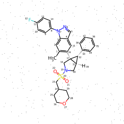 Cc1cc2c(cnn2-c2ccc(F)cc2)cc1[C@@]12CN(S(=O)(=O)CC3CCOCC3)C[C@@H]1[C@H]2c1ccccc1